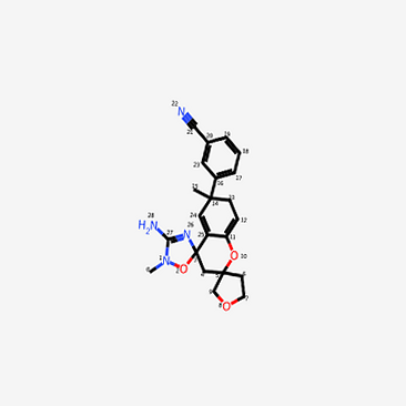 CN1OC2(CC3(CCOC3)OC3=CCC(C)(c4cccc(C#N)c4)C=C32)N=C1N